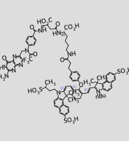 CCCC[N+]1=C(/C=C/C2=C(Oc3ccc(CCC(=O)NCCCC[C@H](NC(=O)CC[C@H](NC(=O)c4ccc(N(Cc5cnc6nc(N)[nH]c(=O)c6n5)C(=O)C(F)(F)F)cc4)C(=O)O)C(=O)O)cc3)C(=C/C=C3/N(CCC(C)S(=O)(=O)O)c4ccc5cc(S(=O)(=O)O)ccc5c4C3(C)C)/CCC2)C(C)(C)c2c1ccc1cc(S(=O)(=O)O)ccc21